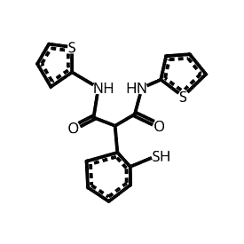 O=C(Nc1cccs1)C(C(=O)Nc1cccs1)c1ccccc1S